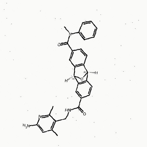 Cc1cc(N)nc(C)c1CNC(=O)c1ccc2c(c1)[C@@H]1O[C@H]2c2ccc(C(=O)N(C)c3ccccc3)cc21